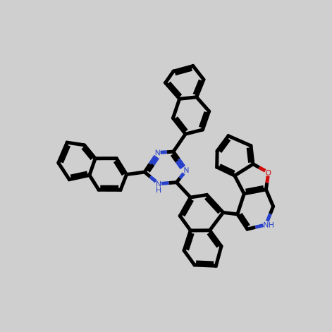 C1=C(c2cc(C3N=C(c4ccc5ccccc5c4)N=C(c4ccc5ccccc5c4)N3)cc3ccccc23)c2c(oc3ccccc23)CN1